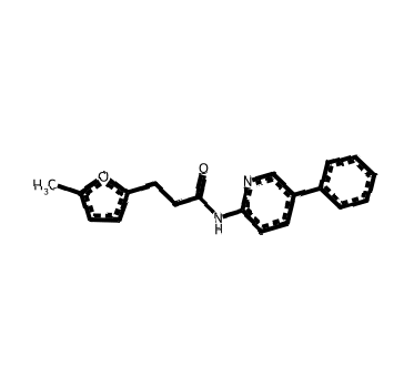 Cc1ccc(CCC(=O)Nc2ccc(-c3ccccc3)cn2)o1